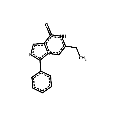 CCc1cn2c(-c3ccccc3)ncc2c(=O)[nH]1